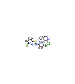 Cc1ccnc(Cl)c1-c1nc(NSc2cccc(F)n2)ccc1Cl